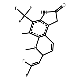 Cc1c2c(c3c(c1C(F)(F)F)NC(=O)C3)C=CC(C=C(F)F)N2C